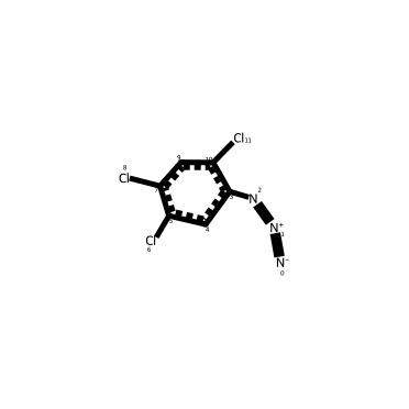 [N-]=[N+]=Nc1cc(Cl)c(Cl)cc1Cl